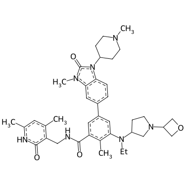 CCN(c1cc(-c2ccc3c(c2)n(C)c(=O)n3C2CCN(C)CC2)cc(C(=O)NCc2c(C)cc(C)[nH]c2=O)c1C)C1CCN(C2COC2)C1